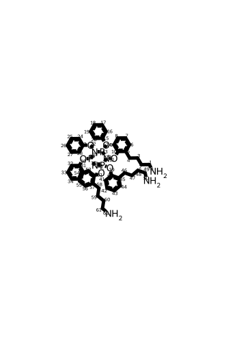 NCCCCc1ccccc1ON1P(Oc2ccccc2)N(Oc2ccccc2)P(Oc2ccccc2)N=P1(Oc1ccccc1CCCCN)Oc1ccccc1CCCCN